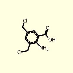 Nc1c(CCl)cc(CCl)cc1C(=O)O